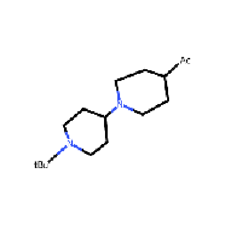 CC(=O)C1CCN(C2CCN(C(C)(C)C)CC2)CC1